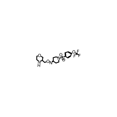 O=S(=O)(c1ccc(OC(F)(F)F)cc1)N1CCC(=NOCC2COCCN2)CC1